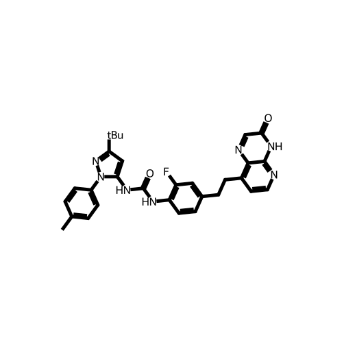 Cc1ccc(-n2nc(C(C)(C)C)cc2NC(=O)Nc2ccc(CCc3ccnc4[nH]c(=O)cnc34)cc2F)cc1